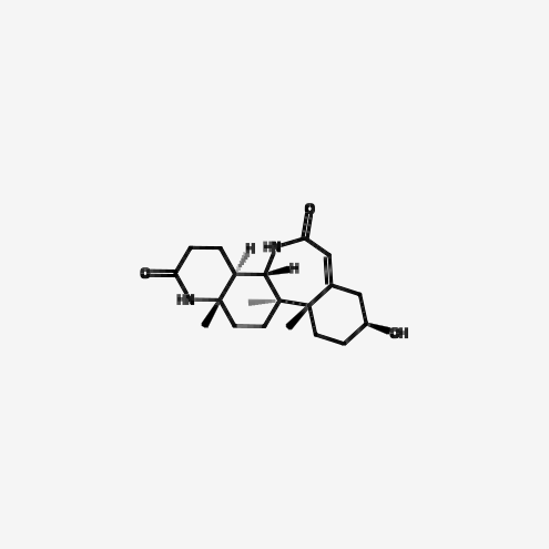 C[C@]12CC[C@H](O)CC1=CC(=O)N[C@H]1[C@@H]3CCC(=O)N[C@@]3(C)CC[C@@]12C